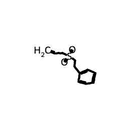 C=CCS(=O)(=O)CCc1ccccc1